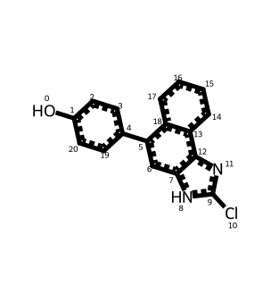 Oc1ccc(-c2cc3[nH]c(Cl)nc3c3ccccc23)cc1